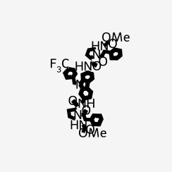 COC(=O)N[C@@H](C(=O)N1CCC[C@H]1C(=O)Nc1ccc2c3ccc(NC(=O)[C@@H]4CCCN4C(=O)[C@H](NC(=O)OC)c4ccccc4)cc3n(Cc3ccc(C(F)(F)F)cc3)c2c1)c1ccccc1